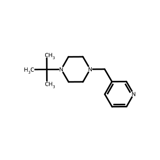 CC(C)(C)N1CCN(Cc2cccnc2)CC1